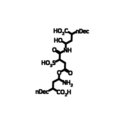 CCCCCCCCCCC(CC(O)NC(=O)C(CC(=O)OC(N)CC(CCCCCCCCCC)C(=O)O)S(=O)(=O)O)C(=O)O